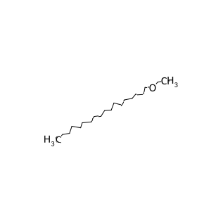 CCCCCCCCCCCCCCCCCCOCC